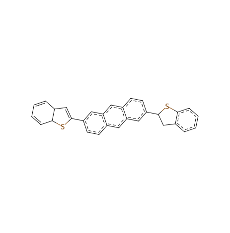 C1=CC2C=C(c3ccc4cc5cc(C6Cc7ccccc7S6)ccc5cc4c3)SC2C=C1